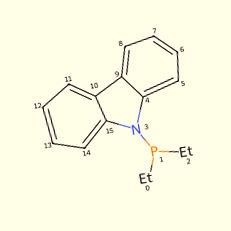 CCP(CC)n1c2ccccc2c2ccccc21